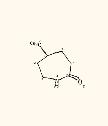 O=CC1CCNC(=O)CC1